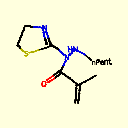 C=C(C)C(=O)N(NCCCCC)C1=NCCS1